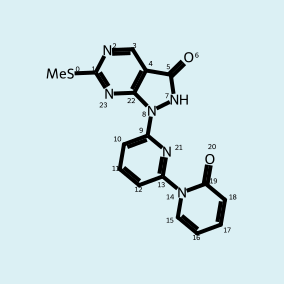 CSc1ncc2c(=O)[nH]n(-c3cccc(-n4ccccc4=O)n3)c2n1